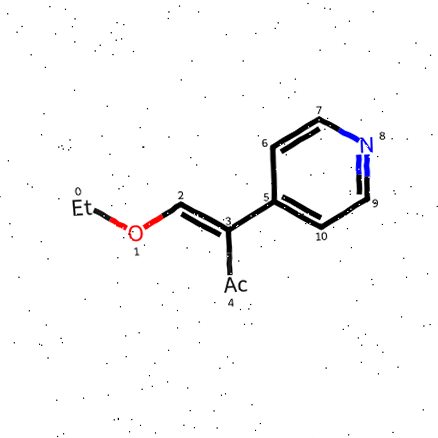 CCO/C=C(\C(C)=O)c1ccncc1